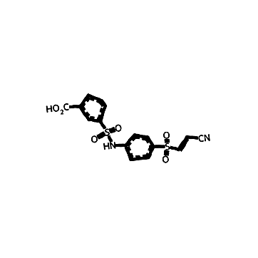 N#C/C=C/S(=O)(=O)c1ccc(NS(=O)(=O)c2cccc(C(=O)O)c2)cc1